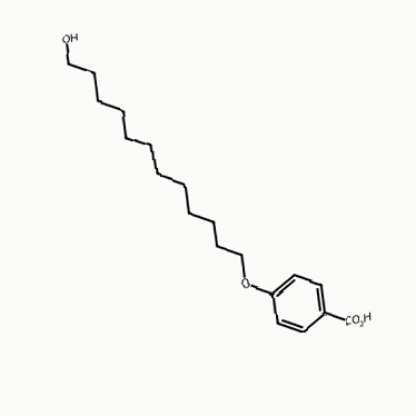 O=C(O)c1ccc(OCCCCCCCCCCCCO)cc1